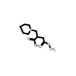 COC(=O)CC(CN1CCCCC1)C(=O)O